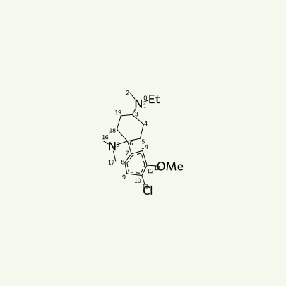 CCN(C)C1CCC(c2ccc(Cl)c(OC)c2)(N(C)C)CC1